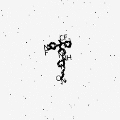 CN(C)C(=O)/C=C/CN1CCCC(Nc2ccc(/C(=C(/CC(F)(F)F)c3ccccc3)c3ccc4c(c3)C(F)=N4)cn2)C1